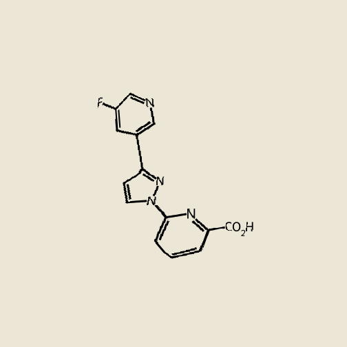 O=C(O)c1cccc(-n2ccc(-c3cncc(F)c3)n2)n1